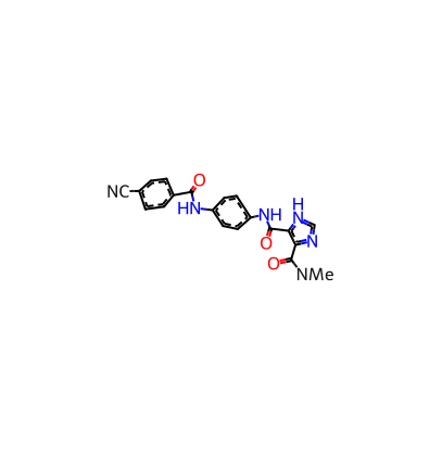 CNC(=O)c1nc[nH]c1C(=O)Nc1ccc(NC(=O)c2ccc(C#N)cc2)cc1